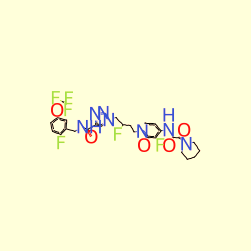 O=C(Nc1ccn(CCC(F)Cn2cc(C(=O)NCc3cc(OC(F)(F)F)ccc3F)nn2)c(=O)c1F)C(=O)N1CCCCC1